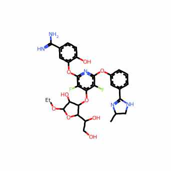 CCOC1OC(C(O)CO)C(Oc2c(F)c(Oc3cccc(C4=NC(C)CN4)c3)nc(Oc3cc(C(=N)N)ccc3O)c2F)C1O